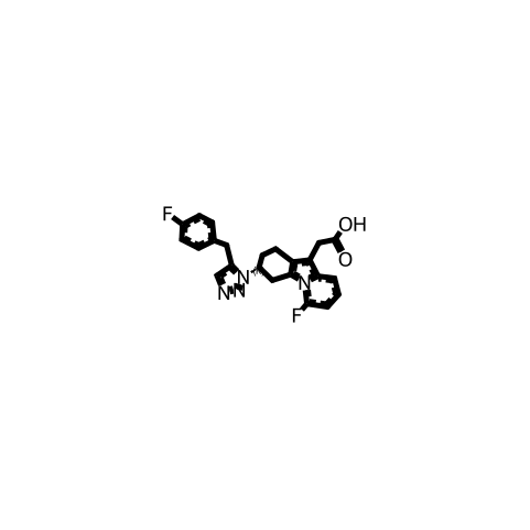 O=C(O)Cc1c2c(n3c(F)cccc13)C[C@H](n1nncc1Cc1ccc(F)cc1)CC2